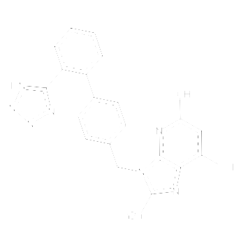 CCCCc1nc2c(C)cc(C)nc2n1Cc1ccc(-c2ccccc2-c2nnn[nH]2)cc1